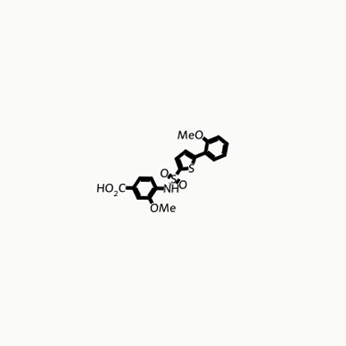 COc1cc(C(=O)O)ccc1NS(=O)(=O)c1ccc(-c2ccccc2OC)s1